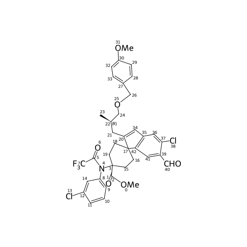 COC(=O)C1(N(C(=O)C(F)(F)F)c2cccc(Cl)c2)CCC2(CC1)C(C[C@@H](C)COCc1ccc(OC)cc1)=Cc1cc(Cl)c(C=O)cc12